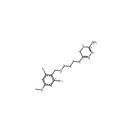 COc1cc(F)c(COCCCCC2=NN=C(N)SC2)c(F)c1